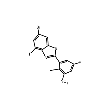 Cc1c(-c2nc3c(F)cc(Br)cc3s2)cc(F)cc1[N+](=O)[O-]